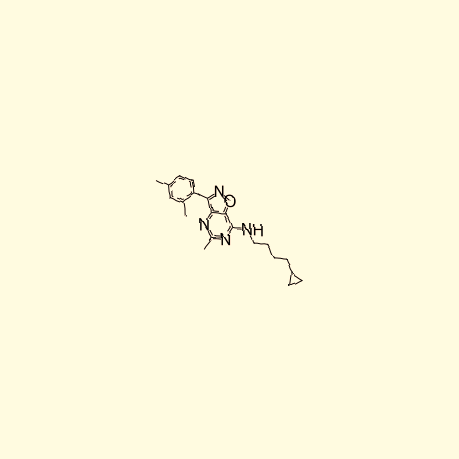 Cc1ccc(-c2noc3c(NCCCCC4CC4)nc(C)nc23)c(C)c1